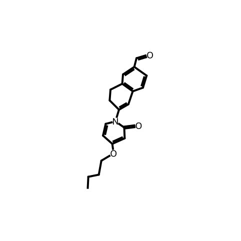 CCCCOc1ccn(C2=Cc3ccc(C=O)cc3CC2)c(=O)c1